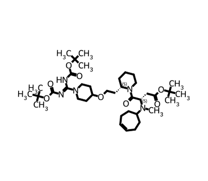 CN(C1CCC=CCC1)[C@@H](CC(=O)OC(C)(C)C)C(=O)N1CCCC[C@H]1CCOC1CCN(C(=NC(=O)OC(C)(C)C)NC(=O)OC(C)(C)C)CC1